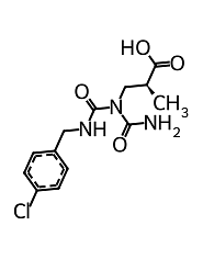 C[C@@H](CN(C(N)=O)C(=O)NCc1ccc(Cl)cc1)C(=O)O